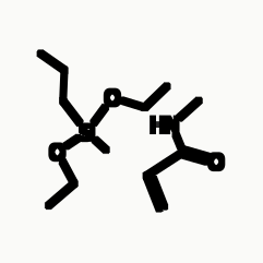 C=CC(=O)NC.CCC[Si](C)(OCC)OCC